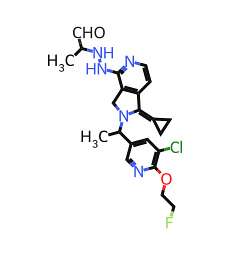 CC(C=O)NNc1nccc2c1CN(C(C)c1cnc(OCCF)c(Cl)c1)C2=C1CC1